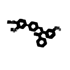 COc1ccc([C@H]2CC[C@H](CN(C(=O)C3CCCCC3)c3cccc(C)c3)CC2)cc1C